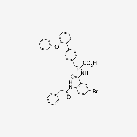 O=C(Cc1ccccc1)Nc1ccc(Br)cc1C(=O)N[C@@H](Cc1ccc(-c2ccccc2Oc2ccccc2)cc1)C(=O)O